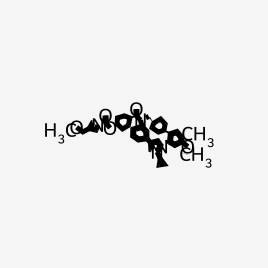 COCC1CN(C(=O)O[C@H]2CC[C@H](C(=O)N(C[C@H]3CC[C@H](c4ccc(OC)c(C)c4)CC3)c3cccc(-c4cnn(C5CC5)c4)c3)CC2)C1